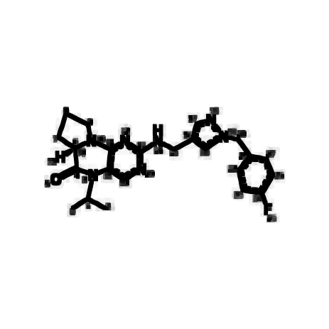 CC(C)N1C(=O)[C@@H]2CCCN2c2nc(NCc3cnn(Cc4ccc(F)cc4)c3)ncc21